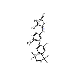 Cc1cc2c(cc1-c1cc(/C=C3/SC(=O)NC3=O)ccc1C(F)(F)F)C(C)(C)CCC2(C)C